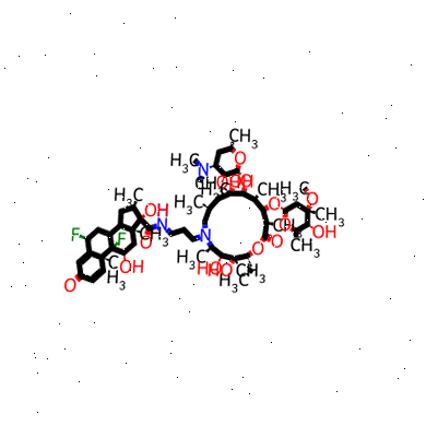 CC[C@H]1OC(=O)[C@H](C)C(O[C@@H]2C[C@](C)(OC)[C@H](O)C(C)O2)[C@H](C)C(O[C@@H]2O[C@H](C)C[C@@H](N(C)C)[C@H]2O)[C@](C)(O)C[C@@H](C)CN(CCCNC(=O)[C@@]2(O)[C@H](C)CC3C4C[C@H](F)C5=CC(=O)C=C[C@]5(C)[C@@]4(F)[C@@H](O)C[C@@]32C)[C@H](C)[C@@H](O)[C@]1(C)O